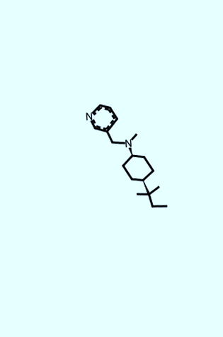 CCC(C)(C)[C@H]1CC[C@@H](N(C)Cc2cccnc2)CC1